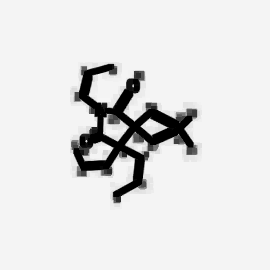 C/C=C\N1C(=O)C(/C=C\C)(/C=C\C)C(/C=C\C)(/C=C\C)C1=O